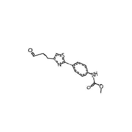 COC(=O)Nc1ccc(-c2nc(CCC=O)cs2)cc1